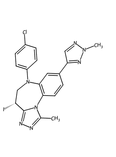 Cc1nnc2n1-c1ccc(-c3cnn(C)n3)cc1N(c1ccc(Cl)cc1)C[C@H]2I